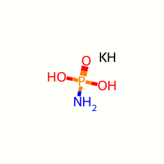 NP(=O)(O)O.[KH]